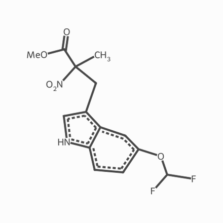 COC(=O)C(C)(Cc1c[nH]c2ccc(OC(F)F)cc12)[N+](=O)[O-]